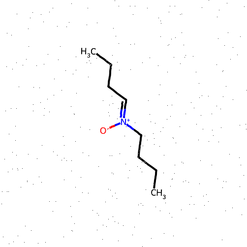 CCC/C=[N+](\[O-])CCCC